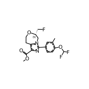 COC(=O)c1nc(-c2ccc(OC(F)F)c(C)c2)n2c1CCO[C@H](CF)C2